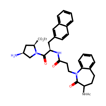 CCOC(=O)[C@@H]1C[C@H](N)CN1C(=O)[C@@H](Cc1ccc2ccccc2c1)NC(=O)CCN1C(=O)C(NC(C)=O)CCc2ccccc21